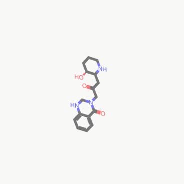 O=C(CC1NCCC[C@@H]1O)CN1CNc2ccccc2C1=O